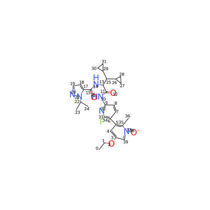 CCOc1cc(-c2ccc(NC(=O)C(NC(=O)c3ccnn3C(C)C)C(C3CC3)C3CC3)nc2F)c(C)[n+]([O-])c1